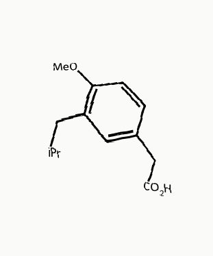 COc1ccc(CC(=O)O)cc1CC(C)C